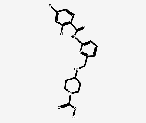 CC(C)(C)OC(=O)N1CCC(NCc2cccc(NC(=O)c3ccc(F)cc3Cl)n2)CC1